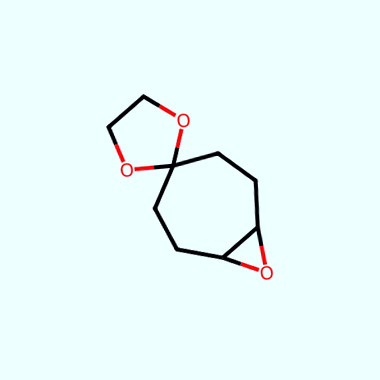 C1COC2(CCC3OC3CC2)O1